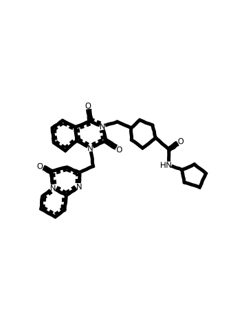 O=C(NC1CCCC1)C1CCC(Cn2c(=O)c3ccccc3n(Cc3cc(=O)n4ccccc4n3)c2=O)CC1